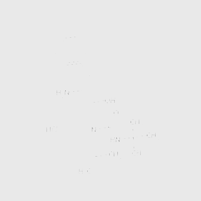 CC(C)CN(CC(O)C(N)Cc1ccccc1)C(=O)NC(C)(C)C.Cl